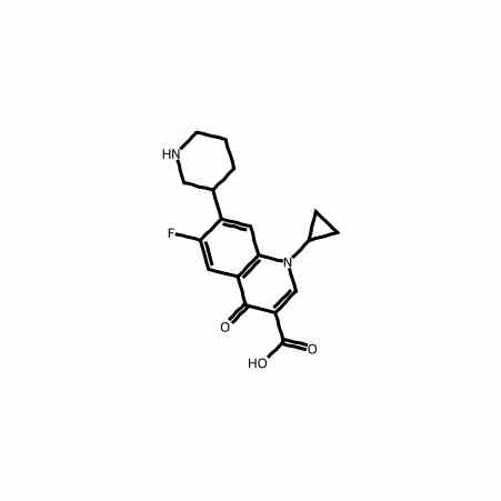 O=C(O)c1cn(C2CC2)c2cc(C3CCCNC3)c(F)cc2c1=O